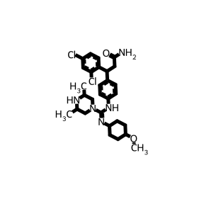 COC1CCC(/N=C(\Nc2ccc(C(CC(N)=O)c3ccc(Cl)cc3Cl)cc2)N2CC(C)NC(C)C2)CC1